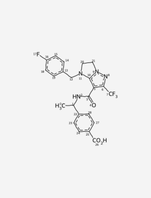 CC(NC(=O)c1c(C(F)(F)F)nn2c1N(Cc1ccc(F)cc1)CC2)c1ccc(C(=O)O)cc1